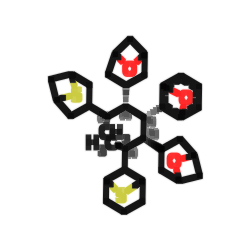 C[C@H](C1CC2CC(C1)S2)[C@H](C1CC2CC(C1)O2)[C@H](c1c2cccc1O2)[C@@H](C1CC2CC(C1)O2)[C@H](C)C1C2CCCC1S2